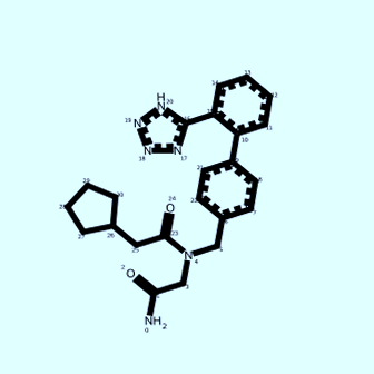 NC(=O)CN(Cc1ccc(-c2ccccc2-c2nnn[nH]2)cc1)C(=O)CC1CCCC1